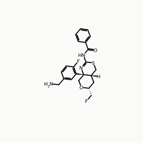 NCc1ccc(F)c([C@]23CO[C@@H](CF)C[C@H]2CSC(NC(=O)c2ccccc2)=N3)c1